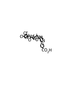 C[C@@H](NC(=O)c1cc(N2CCC(C(=O)O)CC2)ncn1)c1ncc(C(=O)Nc2cc(C(F)(F)F)c(Cl)cn2)s1